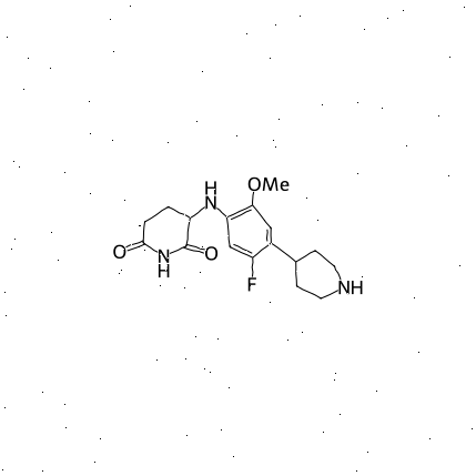 COc1cc(C2CCNCC2)c(F)cc1NC1CCC(=O)NC1=O